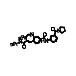 CCCN(CCC)C(=O)C1=Cc2ccc(C(=O)Nc3cccc(C(=O)N4CCCC4)c3)cc2N=CC1